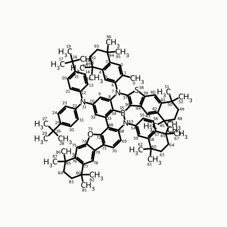 Cc1cc2c(cc1N1c3cc(N(c4ccc(C(C)(C)C)cc4)c4ccc(C(C)(C)C)cc4)cc4c3B(c3c1sc1cc5c(cc31)C(C)(C)CCC5(C)C)N(c1ccc3c(c1)C(C)(C)CCC3(C)C)c1ccc3c(oc5cc6c(cc53)C(C)(C)CCC6(C)C)c1-4)C(C)(C)CCC2(C)C